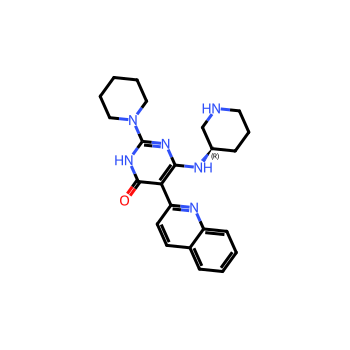 O=c1[nH]c(N2CCCCC2)nc(N[C@@H]2CCCNC2)c1-c1ccc2ccccc2n1